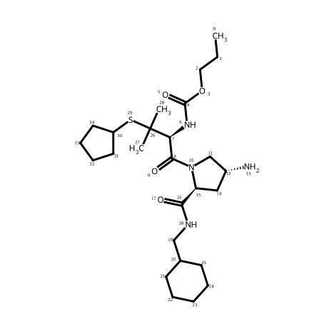 CCCOC(=O)N[C@@H](C(=O)N1C[C@H](N)C[C@H]1C(=O)NCC1CCCCC1)C(C)(C)SC1CCCC1